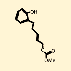 COC(=O)OC/C=C/CCc1ccccc1O